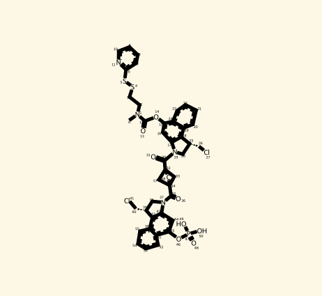 CN(CCSSc1ccccn1)C(=O)Oc1cc2c(c3ccccc13)[C@H](CCl)CN2C(=O)C12CC(C(=O)N3C[C@@H](CCl)c4c3cc(OP(=O)(O)O)c3ccccc43)(C1)C2